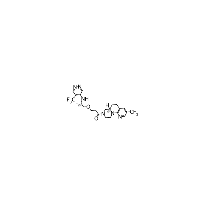 C[C@@H](COCCC(=O)N1CCN2c3ncc(C(F)(F)F)cc3CC[C@H]2C1)Nc1cnncc1C(F)(F)F